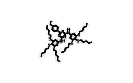 [CH2]Cc1ccc(-c2nc(Nc3cc(SCCCCC)c(SCCCCC)c(SCCCCC)c3)nc(Nc3cc(SCCCCC)c(SCCCCC)c(SCCCCC)c3)n2)cc1